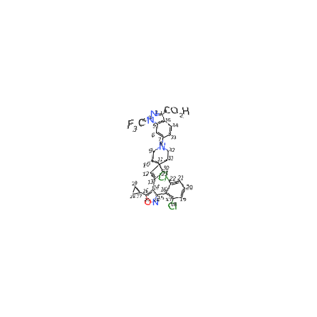 O=C(O)c1nn(C(F)(F)F)c2cc(N3CCC4(C=C(c5c(-c6c(Cl)cccc6Cl)noc5C5CC5)C4)CC3)ccc12